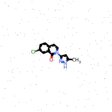 Cc1cc(-n2ccc3ccc(Cl)cc3c2=O)n[nH]1